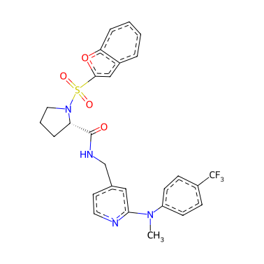 CN(c1ccc(C(F)(F)F)cc1)c1cc(CNC(=O)[C@@H]2CCCN2S(=O)(=O)c2cc3ccccc3o2)ccn1